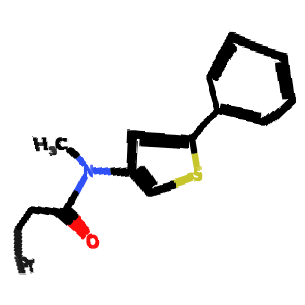 CC(C)CC(=O)N(C)c1csc(-c2ccccc2)c1